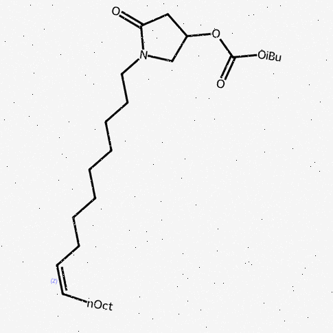 CCCCCCCC/C=C\CCCCCCCCN1CC(OC(=O)OCC(C)C)CC1=O